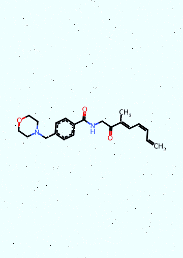 C=C/C=C\C=C(/C)C(=O)CNC(=O)c1ccc(CN2CCOCC2)cc1